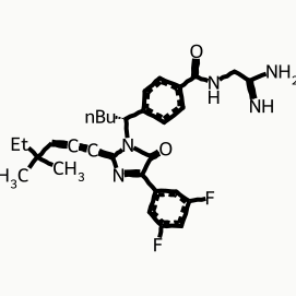 CCCC[C@H](c1ccc(C(=O)NCC(=N)N)cc1)N1C(=O)C(c2cc(F)cc(F)c2)=NC1=C=C=CC(C)(C)CC